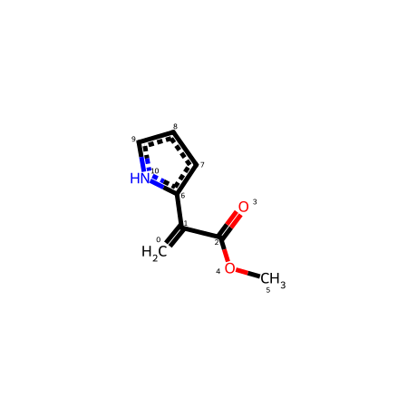 C=C(C(=O)OC)c1ccc[nH]1